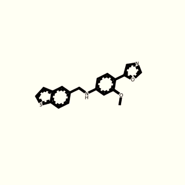 COc1cc(NCc2ccc3sccc3c2)ccc1-c1cnco1